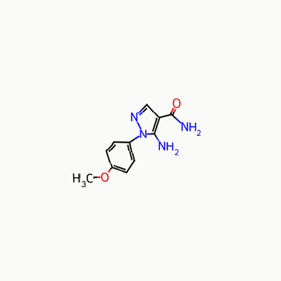 COc1ccc(-n2ncc(C(N)=O)c2N)cc1